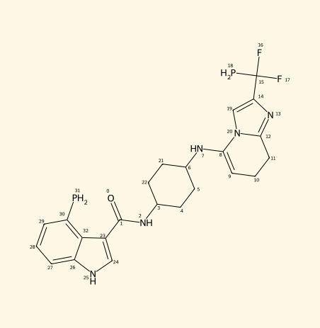 O=C(NC1CCC(NC2=CCCc3nc(C(F)(F)P)cn32)CC1)c1c[nH]c2cccc(P)c12